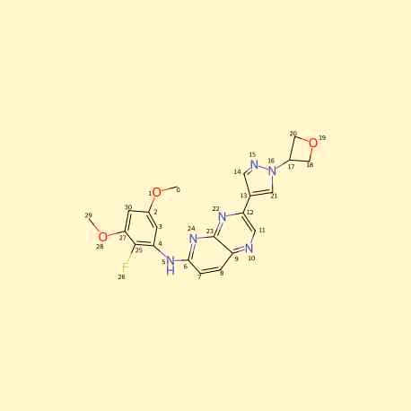 COc1cc(Nc2ccc3ncc(-c4cnn(C5COC5)c4)nc3n2)c(F)c(OC)c1